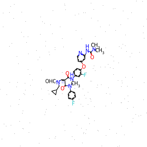 CN(C)C(=O)Nc1cc(Oc2ccc(NC(=O)/C(=C/N(C=O)CC3CC3)C(=O)N(C)c3ccc(F)cc3)cc2F)ccn1